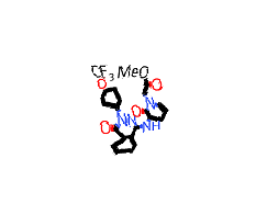 COC(=O)Cn1cccc(Nc2nn(-c3ccc(OC(F)(F)F)cc3)c(=O)c3ccccc23)c1=O